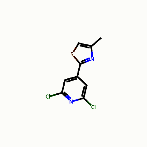 Cc1csc(-c2cc(Cl)nc(Cl)c2)n1